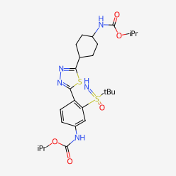 CC(C)OC(=O)Nc1ccc(-c2nnc(C3CCC(NC(=O)OC(C)C)CC3)s2)c(S(=N)(=O)C(C)(C)C)c1